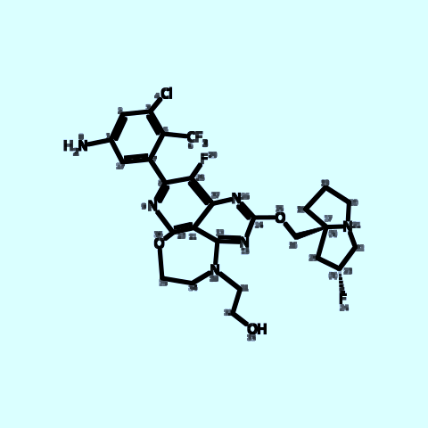 Nc1cc(Cl)c(C(F)(F)F)c(-c2nc3c4c(nc(OC[C@@]56CCCN5C[C@H](F)C6)nc4c2F)N(CCO)CCO3)c1